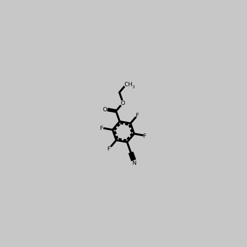 CCOC(=O)c1c(F)c(F)c(C#N)c(F)c1F